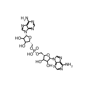 Nc1ncnc2c1ncn2[C@@H]1O[C@H](COP(=O)(O)OC[C@H]2O[C@@H](n3cnc4c(N)ncnc43)C(O)C2O)C(O)C1O